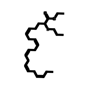 CC/C=C\C/C=C\C/C=C\C/C=C\C/C=C\CCC(SCCC)C(=O)OCC